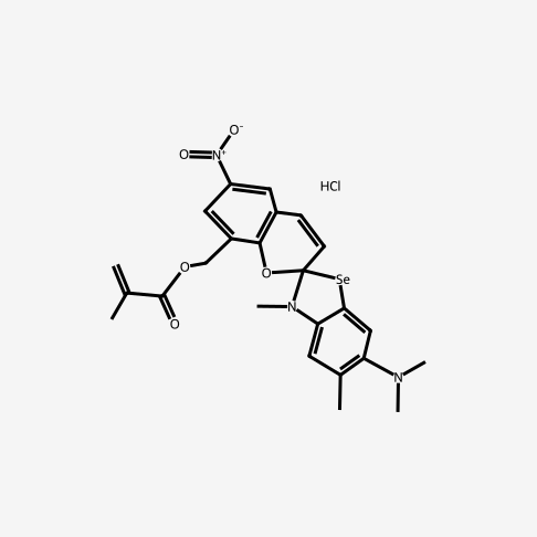 C=C(C)C(=O)OCc1cc([N+](=O)[O-])cc2c1OC1(C=C2)[Se]c2cc(N(C)C)c(C)cc2N1C.Cl